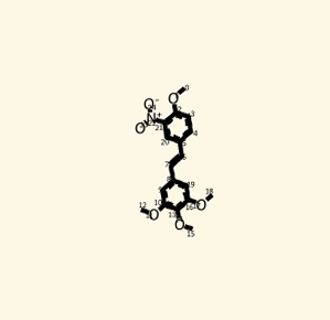 COc1[c]cc(/C=C/c2cc(OC)c(OC)c(OC)c2)cc1[N+](=O)[O-]